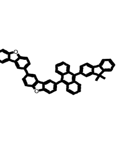 CC1(C)c2ccccc2-c2ccc(-c3c4ccccc4c(-c4ccc5oc6ccc(-c7ccc8oc9ccccc9c8c7)cc6c5c4)c4ccccc34)cc21